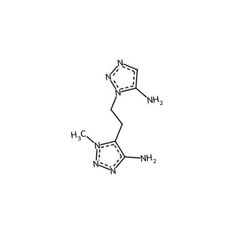 Cn1nnc(N)c1CCn1nncc1N